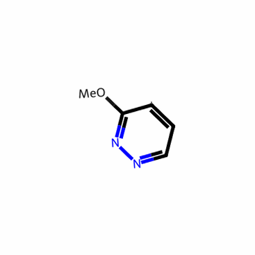 COc1[c]ccnn1